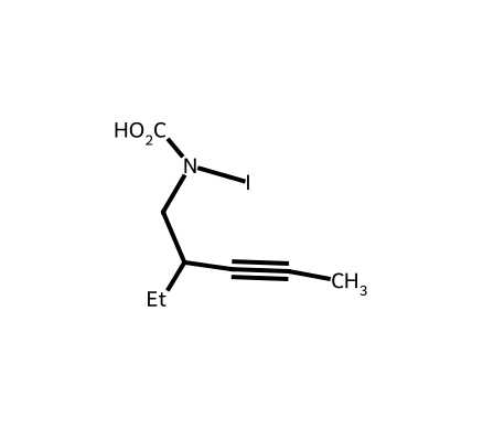 CC#CC(CC)CN(I)C(=O)O